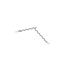 [CH2]/C=C/CCCCCCCC(C)CCCCCCCCCC[CH2]